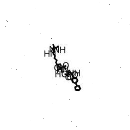 Cc1nc(NCCCCC2CC(C(=O)NCC(NS(=O)(=O)c3ccc(-c4ccccc4)cc3)C(=O)O)=NO2)[nH]c1C